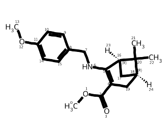 COC(=O)C1=C(NCc2ccc(OC)cc2)[C@@H]2C[C@H](C1)C2(C)C